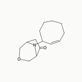 O=C1CC2COCC1N2C1/C=C\CCCCC1